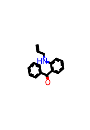 C=CCNc1ccccc1C(=O)c1ccccc1